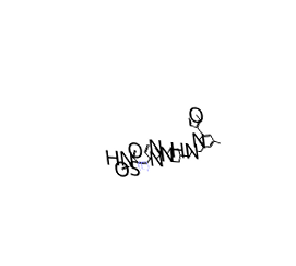 Cc1cc(CNCC2CCN(c3nccc(/C=C4/SC(=O)NC4=O)n3)CC2)nc(-c2ccoc2)c1